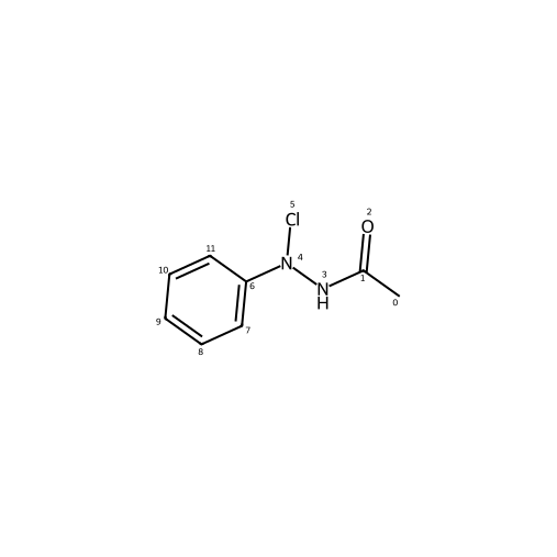 CC(=O)NN(Cl)c1ccccc1